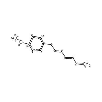 C=CC=CC=CCc1ccc(OC)cc1